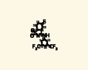 O=S1(=O)N=C(Nc2cc(C(F)(F)F)cc(C(F)(F)F)c2)c2cc(F)ccc21